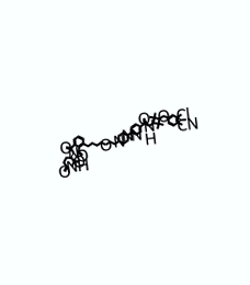 CC1(C)C(NC(=O)c2ccc(N3CCN(CCOCCCCc4cccc5c4C(=O)N([C@@H]4CCC(=O)NC4=O)C5=O)CC3)nc2)C(C)(C)C1Oc1ccc(C#N)c(Cl)c1